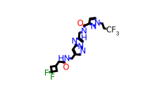 O=C(CC1CC(F)(F)C1)NCc1cnn2cc(CNC(=O)c3ccn(CCC(F)(F)F)n3)nc2c1